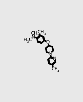 Cc1cc(OC2CCN(c3ccc(C(F)(F)F)cn3)CC2)ccc1N(C)C